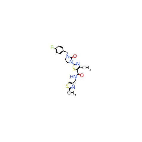 Cc1nc(CNC(=O)c2sc(N3CCN(Cc4ccc(F)cc4)C3=O)nc2C)cs1